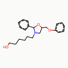 OCCCCCCN1CC(COc2ccccc2)OC1c1ccccc1